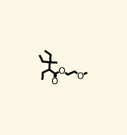 CCC(C(=O)OCCOC)C(C)(CC)CC